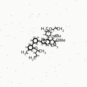 C=CCOC1(C)CCN(c2c(C(OC(C)(C)C)C(=O)OC)c(C)nc3cc(-c4cccc(-c5ccc(C)cc5OC(C)CC=C)c4)nn23)CC1